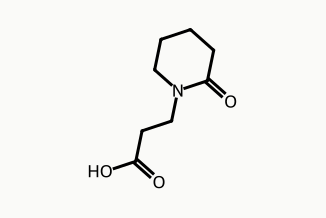 O=C(O)CCN1CCCCC1=O